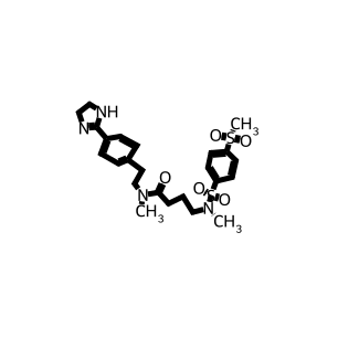 CN(CCc1ccc(C2=NCCN2)cc1)C(=O)CCCN(C)S(=O)(=O)c1ccc(S(C)(=O)=O)cc1